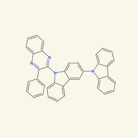 c1ccc(-c2nc3ccccc3nc2-n2c3ccccc3c3cc(-n4c5ccccc5c5ccccc54)ccc32)cc1